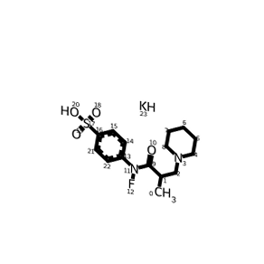 CC(CN1CCCCC1)C(=O)N(F)c1ccc(S(=O)(=O)O)cc1.[KH]